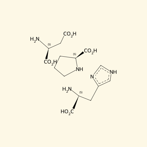 N[C@@H](CC(=O)O)C(=O)O.N[C@@H](Cc1c[nH]cn1)C(=O)O.O=C(O)[C@@H]1CCCN1